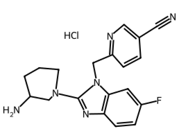 Cl.N#Cc1ccc(Cn2c(N3CCCC(N)C3)nc3ccc(F)cc32)nc1